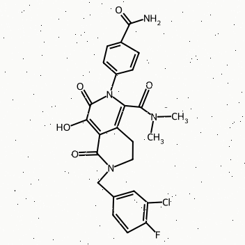 CN(C)C(=O)c1c2c(c(O)c(=O)n1-c1ccc(C(N)=O)cc1)C(=O)N(Cc1ccc(F)c(Cl)c1)CC2